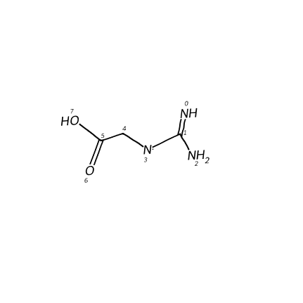 N=C(N)[N]CC(=O)O